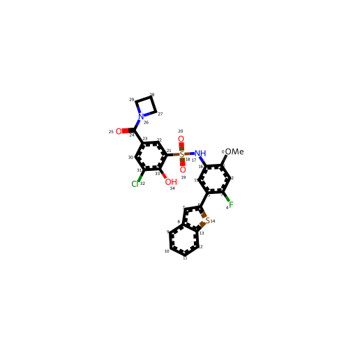 COc1cc(F)c(-c2cc3ccccc3s2)cc1NS(=O)(=O)c1cc(C(=O)N2CCC2)cc(Cl)c1O